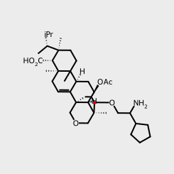 CC(=O)O[C@@H]1C[C@@]23COC[C@](C)(C1OCC(N)C1CCCC1)[C@@H]2CC[C@H]1C3=CC[C@@]2(C)[C@H](C(=O)O)[C@@](C)([C@H](C)C(C)C)CCC12C